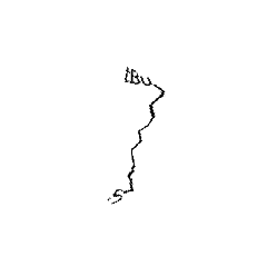 CC(C)(C)CCCCCCCCC[S]